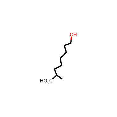 CC(CCCCCCO)C(=O)O